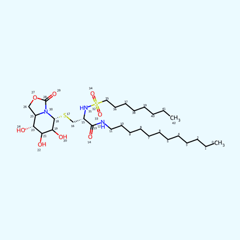 CCCCCCCCCCCCNC(=O)[C@H](CS[C@@H]1C(O)C(O)[C@H](O)C2COC(=O)N21)NS(=O)(=O)CCCCCCCC